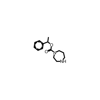 CC(OC(=O)N1CCCNCC1)c1ccccc1